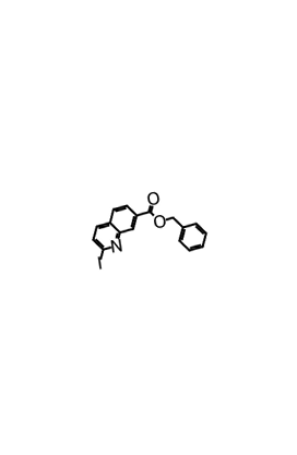 O=C(OCc1ccccc1)c1ccc2ccc(I)nc2c1